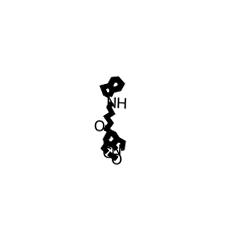 O=C(CCCCNC1CCc2ccccc21)c1cc2c3c(c1)CCN3C(=O)CC2